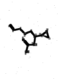 C=CCOC[C@H](NC(=O)O)[C@H]1CO1